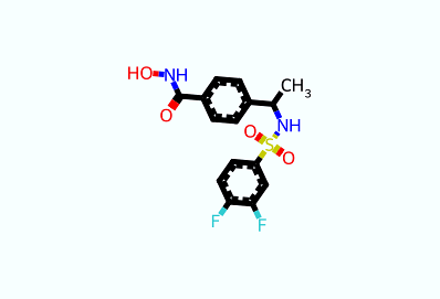 CC(NS(=O)(=O)c1ccc(F)c(F)c1)c1ccc(C(=O)NO)cc1